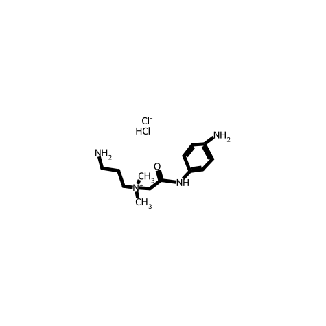 C[N+](C)(CCCN)CC(=O)Nc1ccc(N)cc1.Cl.[Cl-]